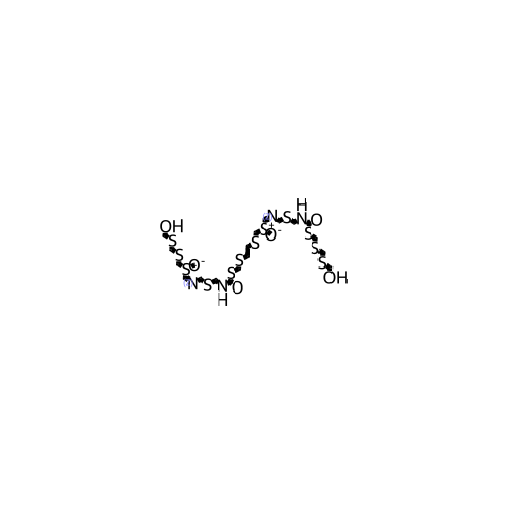 O=C(NCSC/N=C\[S+]([O-])CSCSCO)SCSCCSC[S+]([O-])/C=N\CSCNC(=O)SCSCSCO